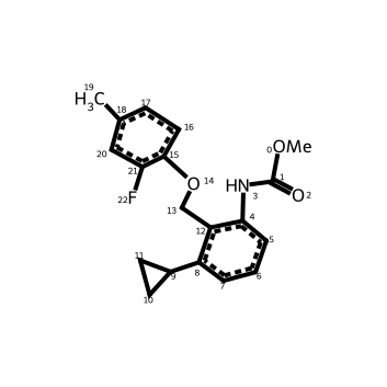 COC(=O)Nc1cccc(C2CC2)c1COc1ccc(C)cc1F